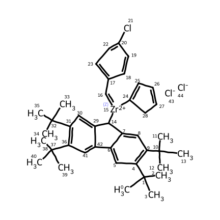 CC(C)(C)c1cc2c(cc1C(C)(C)C)[CH](/[Zr+2](=[CH]/c1ccc(Cl)cc1)[C]1=CC=CC1)c1cc(C(C)(C)C)c(C(C)(C)C)cc1-2.[Cl-].[Cl-]